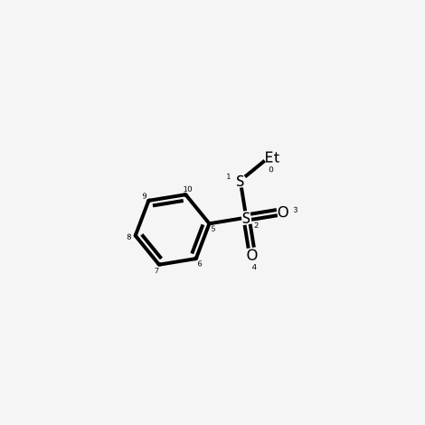 CCSS(=O)(=O)c1ccccc1